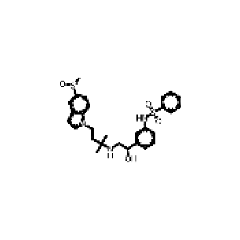 C[S+]([O-])c1ccc2c(ccn2CCC(C)(C)NC[C@H](O)c2cccc(NS(=O)(=O)c3ccccc3)c2)c1